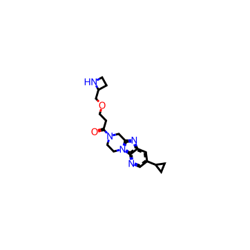 O=C(CCOCC1CCN1)N1CCn2c(nc3cc(C4CC4)cnc32)C1